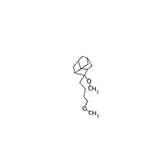 COCCCCC1(OC)C2CC3CC(C2)CC1C3